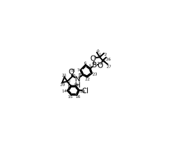 CC1(C)OB(c2ccc(NC(=O)C3(c4cccc(Cl)c4)CC3)cc2)OC1(C)C